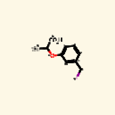 CC(C)(C)C(Oc1cccc(CI)c1)C(=O)O